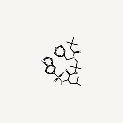 CC(C)CC(NS(=O)(=O)c1ccc2occc2c1)C(=O)NC(C)(C)CN(Cc1ccncc1)C(=O)CC(C)(C)C